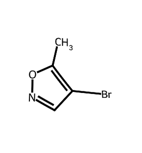 Cc1oncc1Br